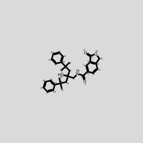 CC(C)(CC(O)(CNC(=O)c1ccc2c(c1)C(=O)OC2)CC(C)(C)c1ccccc1)c1ccccc1